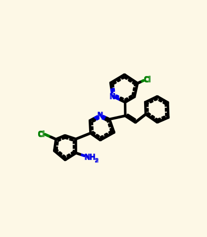 Nc1ccc(Cl)cc1-c1ccc(C(=Cc2ccccc2)c2cc(Cl)ccn2)nc1